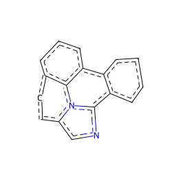 c1ccc2c(c1)c1cccc3ccc4cnc2n4c31